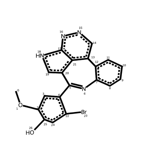 COc1cc(C2=Nc3ccccc3-c3cnnc4[nH]cc2c34)c(Br)cc1O